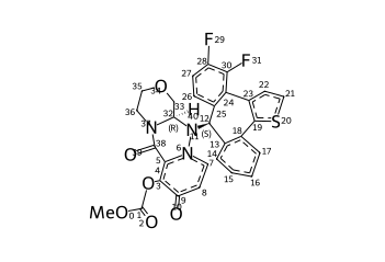 COC(=O)Oc1c2n(ccc1=O)N([C@@H]1c3ccccc3-c3sccc3-c3c1ccc(F)c3F)[C@@H]1COCCN1C2=O